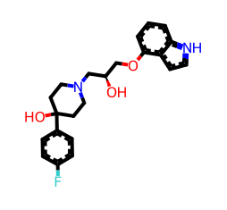 O[C@H](COc1cccc2[nH]ccc12)CN1CCC(O)(c2ccc(F)cc2)CC1